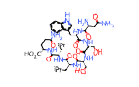 CC(C)C[C@H](NC(=O)[C@H](CC(C)C)NC(=O)[C@H](CO)NC(=O)[C@H](CO)NC(=O)[C@H](Cc1c[nH]c2ccccc12)NC(=O)[C@@H](N)CC(N)=O)C(=O)N[C@@H](CCC(N)=O)C(=O)O